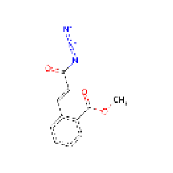 COC(=O)c1ccccc1C=CC(=O)N=[N+]=[N-]